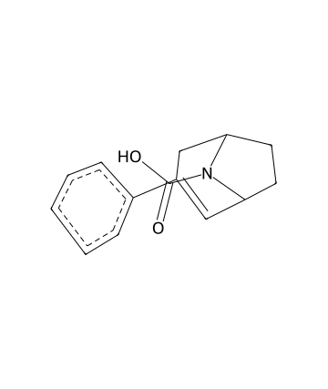 O=C(O)N1C2C=C(c3ccccc3)CC1CC2